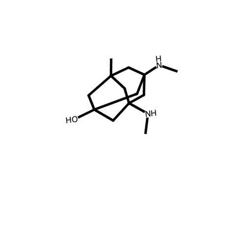 CNC12CC3(C)CC(O)(C1)CC(NC)(C3)C2